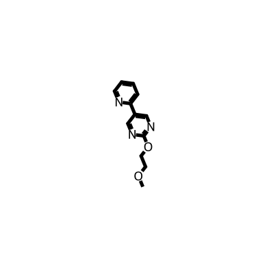 COCCOc1ncc(-c2ccccn2)cn1